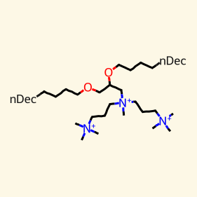 CCCCCCCCCCCCCCOCC(C[N+](C)(CCC[N+](C)(C)C)CCC[N+](C)(C)C)OCCCCCCCCCCCCCC